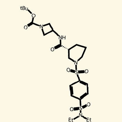 CCN(CC)S(=O)(=O)c1ccc(S(=O)(=O)N2CCC[C@@H](C(=O)NC3CN(C(=O)OC(C)(C)C)C3)C2)cc1